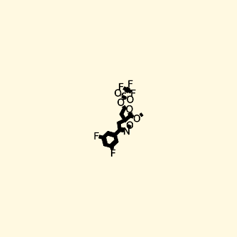 COC(=O)C1(CCOS(=O)(=O)C(F)(F)F)CC(c2cc(F)cc(F)c2)=NO1